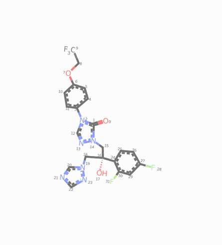 O=c1n(-c2ccc(OCC(F)(F)F)cc2)cnn1C[C@](O)(Cn1cncn1)c1ccc(F)cc1F